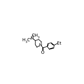 CCc1ccc(C(=O)N2CCC(N(C)C)CC2)cc1